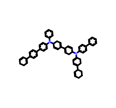 C1=CC(c2ccc(-c3ccc(N(c4ccccc4)C4C=CC(C5=CCC(N(C6=CC=C(C7C=CCCC7)CC6)c6ccc(-c7ccccc7)cc6)C=C5)=CC4)cc3)cc2)=CCC1